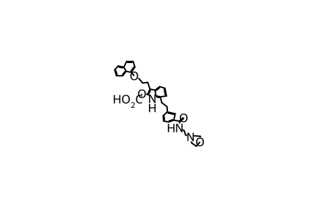 O=C(O)Oc1[nH]c2c(CCc3cccc(C(=O)NCCN4CCOCC4)c3)cccc2c1CCCOc1cccc2ccccc12